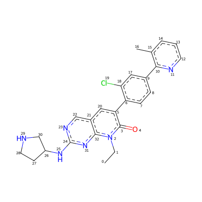 CCn1c(=O)c(-c2ccc(-c3ncccc3C)cc2Cl)cc2cnc(NC3CCNC3)nc21